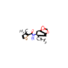 Cc1cc2c(cc1NC(=O)c1sccc1C)OCO2